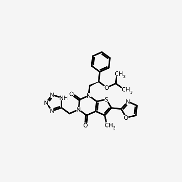 Cc1c(-c2ncco2)sc2c1c(=O)n(Cc1nnn[nH]1)c(=O)n2C[C@H](OC(C)C)c1ccccc1